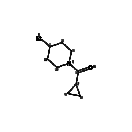 CCC1CCN(C(=O)C2CC2)CC1